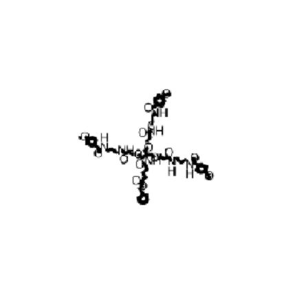 COc1ccc(C(=O)NCCCNC(=O)CCOCC(COCCC(=O)NCCCNC(=O)c2ccc(OC)cc2)(COCCC(=O)NCCCNC(=O)c2ccc(OC)cc2)NC(=O)CCCC(=O)OCc2ccccc2)cc1